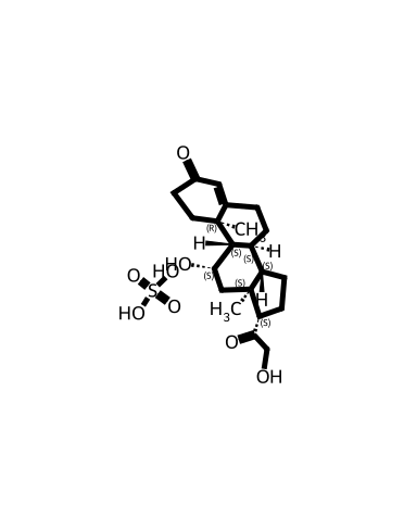 C[C@]12C[C@H](O)[C@H]3[C@@H](CCC4=CC(=O)CC[C@@]43C)[C@@H]1CC[C@@H]2C(=O)CO.O=S(=O)(O)O